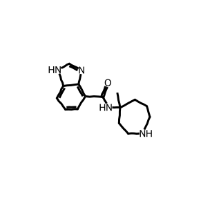 CC1(NC(=O)c2cccc3[nH]cnc23)CCCNCC1